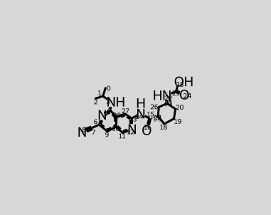 CC(C)Nc1nc(C#N)cc2cnc(NC(=O)[C@H]3CCC[C@@H](NC(=O)O)C3)cc12